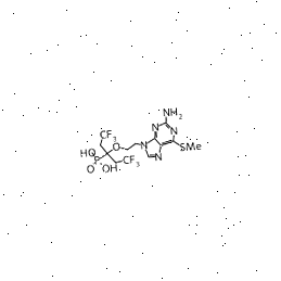 CSc1nc(N)nc2c1ncn2CCOC(CC(F)(F)F)(CC(F)(F)F)P(=O)(O)O